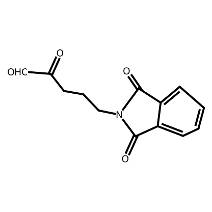 O=CC(=O)CCCN1C(=O)c2ccccc2C1=O